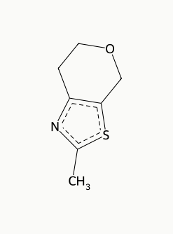 Cc1nc2c(s1)COCC2